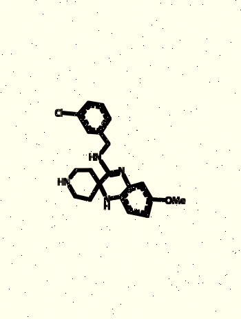 COc1ccc2c(c1)N=C(NCc1cccc(Cl)c1)C1(CCNCC1)N2